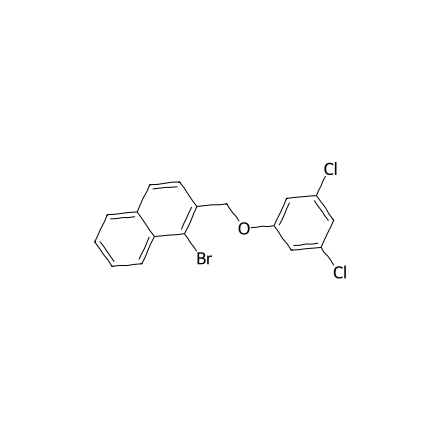 Clc1cc(Cl)cc(OCc2ccc3ccccc3c2Br)c1